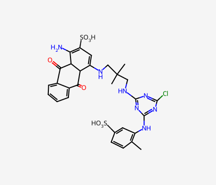 Cc1ccc(S(=O)(=O)O)cc1Nc1nc(Cl)nc(NCC(C)(C)CNC2=CC(S(=O)(=O)O)=C(N)C3C(=O)c4ccccc4C(=O)C23)n1